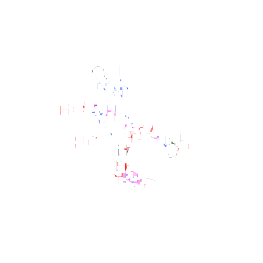 CNN(C)Cc1cc2ccccc2n1CCC(=O)NN(CCO)CC(=O)N(CCO)CCC(=O)N(C)[C@@H](C)C(=O)O[C@H]1CC(=O)N(C)c2cc(cc(OC)c2Cl)C/C(C)=C/C=C/[C@@H](OC)[C@@]2(O)C[C@H](OC(=O)N2)[C@@H](C)[C@@H]2O[C@@]12C